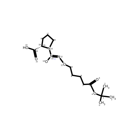 CC(C)(C)OC(=O)CCCCO/N=[N+](\[O-])N1CCC[C@H]1C(=O)O